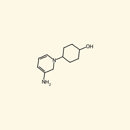 NC1=CC=CN(C2CCC(O)CC2)C1